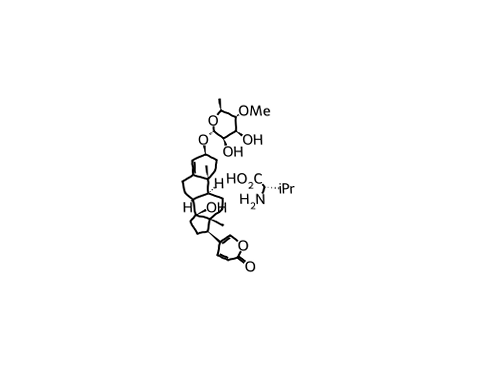 CC(C)[C@H](N)C(=O)O.CO[C@@H]1[C@@H](O)[C@@H](O)[C@H](O[C@@H]2C=C3CC[C@@H]4[C@H](CC[C@]5(C)[C@@H](c6ccc(=O)oc6)CC[C@]45O)[C@@]3(C)CC2)O[C@H]1C